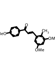 COc1ccc(C(=O)C=Cc2cc(OC)cc(OC)c2C)cc1